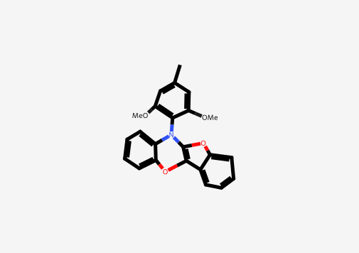 COc1cc(C)cc(OC)c1N1c2ccccc2Oc2c1oc1ccccc21